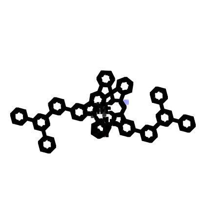 C=C1/C(=C\c2c(C)n(-c3ncccn3)c3ccc(-c4cccc(-c5cc(-c6ccccc6)cc(-c6ccccc6)c5)c4)cc23)c2ccccc2C12c1ccccc1-c1cc3c4cc(-c5cccc(-c6cc(-c7ccccc7)cc(-c7ccccc7)c6)c5)ccc4n(-c4ncccn4)c3cc12